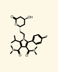 CC(C)c1c(C(=O)N(C)C)c(C(=O)N(C)C)c(-c2ccc(F)cc2)n1CC[C@H]1C[C@H](O)CC(=O)O1